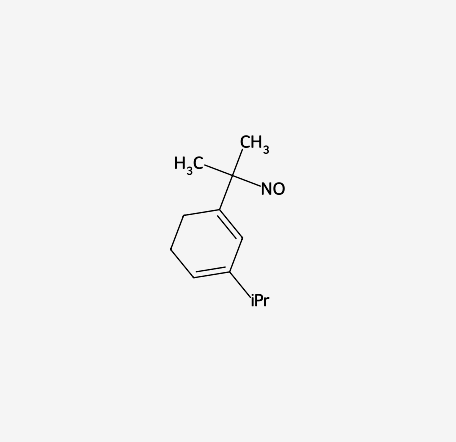 CC(C)C1=CCCC(C(C)(C)N=O)=C1